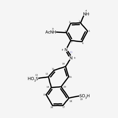 CC(=O)Nc1cc([NH])ccc1/N=N/c1cc(S(=O)(=O)O)c2cccc(S(=O)(=O)O)c2c1